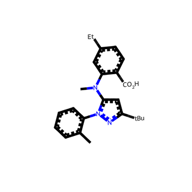 CCc1ccc(C(=O)O)c(N(C)c2cc(C(C)(C)C)nn2-c2ccccc2C)c1